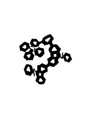 c1ccc(-n2c3ccccc3c3cc(-c4ccc5c(c4)c4cc(-c6cccc(-c7cccc([Si](c8ccccc8)(c8ccccc8)c8ccccc8)c7)c6)ccc4n5-c4ccccc4)ccc32)cc1